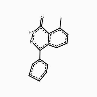 Cc1cccc2c(-c3ccccc3)n[nH]c(=O)c12